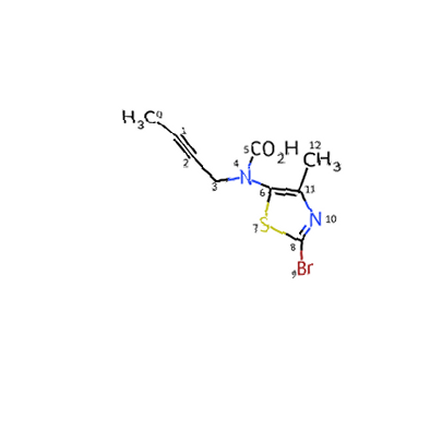 CC#CCN(C(=O)O)c1sc(Br)nc1C